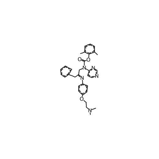 Cc1cccc(C)c1OC(=O)N(CC(Cc1ccccc1)=Nc1ccc(OCCN(C)C)cc1)c1ccncn1